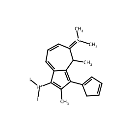 CC1=[C]([Hf]([I])[I])C2=CC=CC(=[Si](C)C)C(C)C2=C1C1=CC=CC1